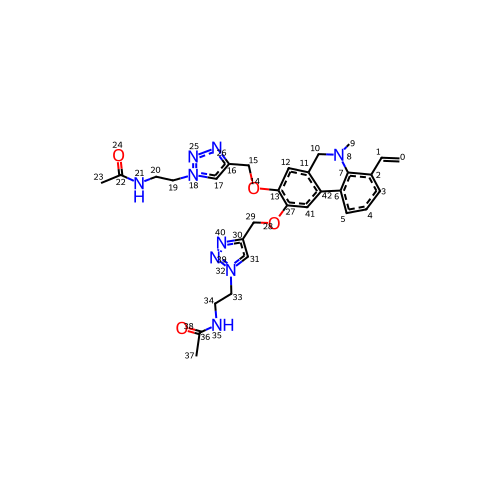 C=Cc1cccc2c1N(C)Cc1cc(OCc3cn(CCNC(C)=O)nn3)c(OCc3cn(CCNC(C)=O)nn3)cc1-2